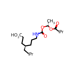 CC(C)C[C@H](CCCNC(=O)O[C@H](C)OC(=O)C(C)C)CCC(=O)O